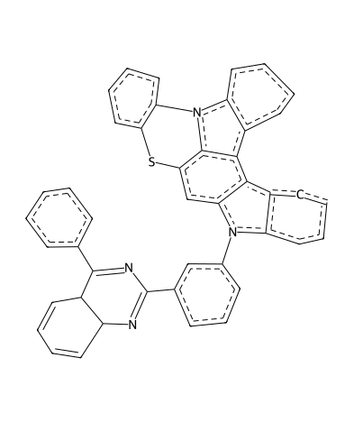 C1=CC2N=C(c3cccc(-n4c5ccccc5c5c6c7ccccc7n7c6c(cc54)Sc4ccccc4-7)c3)N=C(c3ccccc3)C2C=C1